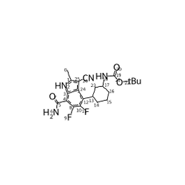 Cc1[nH]c2c(C(N)=O)c(F)c(F)c(C3CCCC(NC(=O)OC(C)(C)C)C3)c2c1C#N